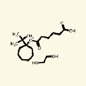 CC(C)(C)C1(OC(=O)CCCCC(=O)O)CCCCCC1.OCCO